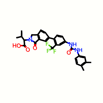 Cc1ccc(NC(=O)Nc2ccc(-c3ccc4c(c3)C(=O)N(C(C(=O)O)C(C)C)C4)c(C(F)(F)F)c2)cc1C